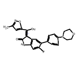 Cc1cc(/C(O)=C2\C(=O)Nc3cc(F)c(-c4ccc(N5CCOCC5)cc4)cc32)on1